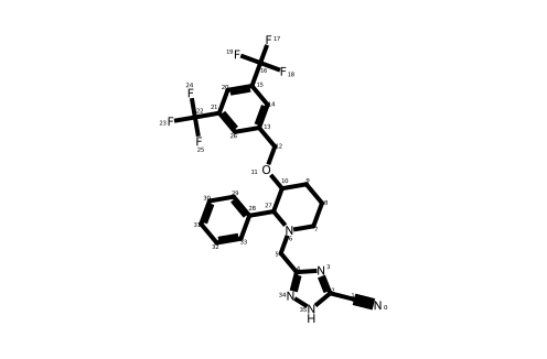 N#Cc1nc(CN2CCCC(OCc3cc(C(F)(F)F)cc(C(F)(F)F)c3)C2c2ccccc2)n[nH]1